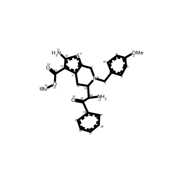 COc1ccc(CN2Cc3sc(N)c(C(=O)OC(C)(C)C)c3CC2C(N)C(=O)c2ccccc2)cc1